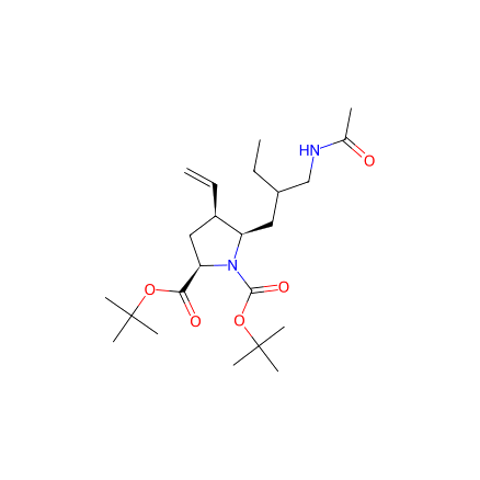 C=C[C@@H]1C[C@H](C(=O)OC(C)(C)C)N(C(=O)OC(C)(C)C)[C@@H]1CC(CC)CNC(C)=O